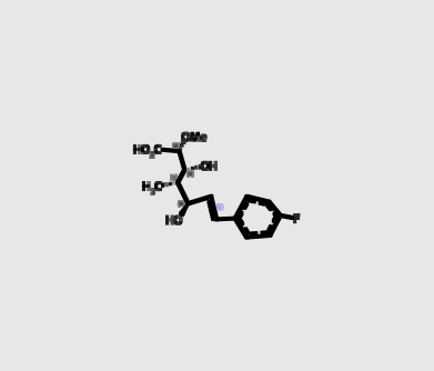 CO[C@@H](C(=O)O)[C@H](O)[C@@H](C)[C@H](O)/C=C/c1ccc(F)cc1